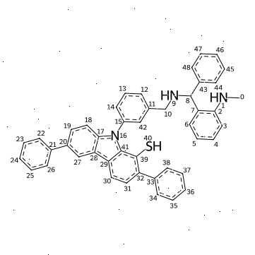 CNc1ccccc1C(NCc1cccc(-n2c3ccc(-c4ccccc4)cc3c3ccc(-c4ccccc4)c(S)c32)c1)c1ccccc1